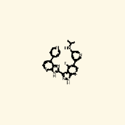 CC(C)Nc1cncc(-c2cnc3[nH]nc(-c4nc5c(-c6ccncc6)ccnc5[nH]4)c3c2F)c1